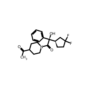 CC(=O)C1CCN(C(=O)[C@](O)(c2ccccc2)[C@@H]2CCC(F)(F)C2)CC1